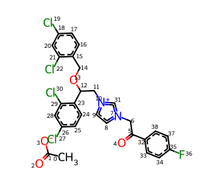 CC(=O)[O-].O=C(Cn1cc[n+](CC(OCc2ccc(Cl)cc2Cl)c2ccc(Cl)cc2Cl)c1)c1ccc(F)cc1